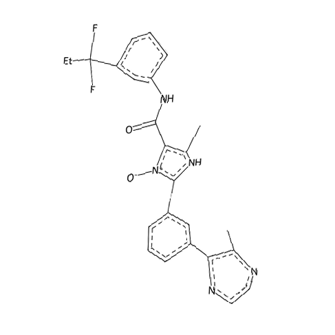 CCC(F)(F)c1cccc(NC(=O)c2c(C)[nH]c(-c3cccc(-c4nccnc4C)c3)[n+]2[O-])c1